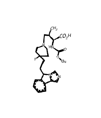 CC(CN1CCC(F)(CCC2c3ccccc3-c3cncn32)CC1)[C@H](NC(=O)OC(C)(C)C)C(=O)O